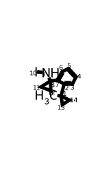 CC1(c2ccccc2C2(NI)CC2)CC1